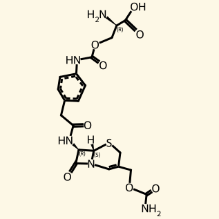 NC(=O)OCC1=CN2C(=O)[C@@H](NC(=O)Cc3ccc(NC(=O)OC[C@@H](N)C(=O)O)cc3)[C@@H]2SC1